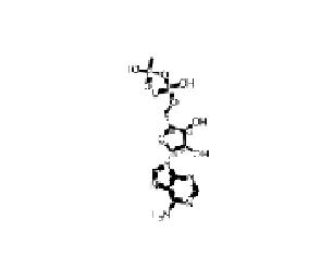 CP(=O)(O)OP(=O)(O)OC[C@H]1O[C@@H](n2cnc3c(N)ncnc32)[C@H](O)[C@@H]1O